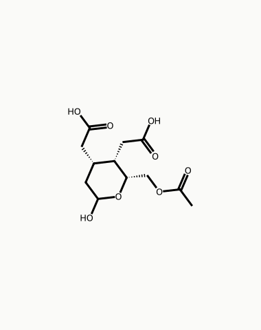 CC(=O)OC[C@@H]1OC(O)C[C@H](CC(=O)O)[C@@H]1CC(=O)O